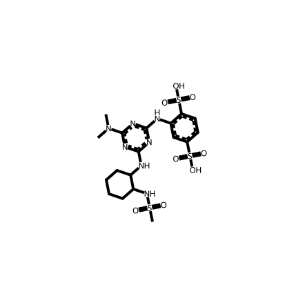 CN(C)c1nc(Nc2cc(S(=O)(=O)O)ccc2S(=O)(=O)O)nc(NC2CCCCC2NS(C)(=O)=O)n1